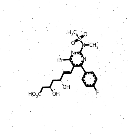 CC(C)c1nc(N(C)S(C)(=O)=O)nc(-c2ccc(F)cc2)c1C=C[C@H](O)C[C@@H](O)CC(=O)O